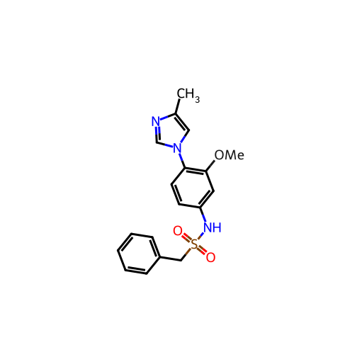 COc1cc(NS(=O)(=O)Cc2ccccc2)ccc1-n1cnc(C)c1